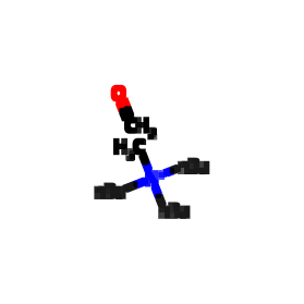 C=O.CCCC[N+](C)(CCCC)CCCC